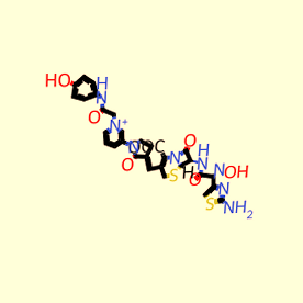 Nc1nc(C(=NO)C(=O)N[C@@H]2C(=O)N3C(C(=O)[O-])=C(C=C4CCN(c5ccc[n+](CC(=O)Nc6ccc(O)cc6)c5)C4=O)CS[C@H]23)cs1